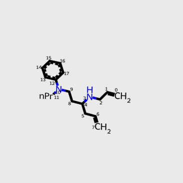 C=CCNC(CC=C)CCN(CCC)c1ccccc1